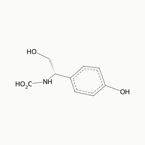 O=C(O)N[C@H](CO)c1ccc(O)cc1